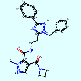 Cn1ncc(C(=O)N2CCC2)c1C(=O)NCCc1nc(-c2ccccc2)nn1Cc1ccccc1